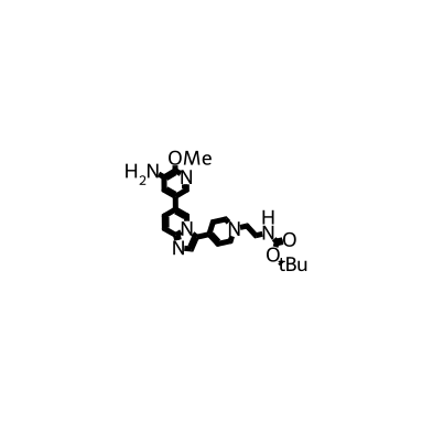 COc1ncc(-c2ccc3ncc(C4=CCN(CCNC(=O)OC(C)(C)C)CC4)n3c2)cc1N